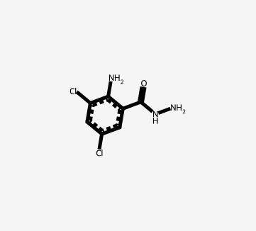 NNC(=O)c1cc(Cl)cc(Cl)c1N